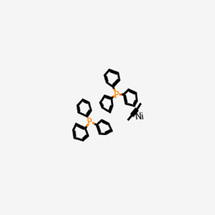 CC#CC.[Ni].c1ccc(P(c2ccccc2)c2ccccc2)cc1.c1ccc(P(c2ccccc2)c2ccccc2)cc1